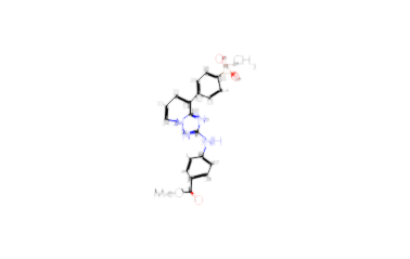 COC(=O)c1ccc(Nc2nc3c(-c4ccc(S(C)(=O)=O)cc4)cccn3n2)cc1